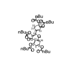 CCCCC(=O)Oc1cc(OC(=O)CCCC)c2c(=O)c(OC(=O)CCCC)c(-c3ccc(OC(=O)CCCC)c(OC(=O)CCCC)c3)oc2c1